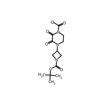 CC(C)(C)OC(=O)N1CC(N2CCN(C(=O)Cl)C(=O)C2=O)C1